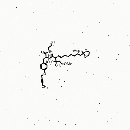 CC#CCOc1ccc(C[C@H](NC(=O)C(C=CCCCCCCC2(CCCCCCC)OCCO2)C(O)(CCOC)C(=O)O)C(=O)NCCO)cc1